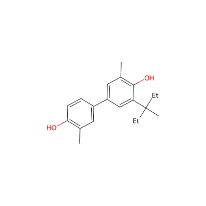 CCC(C)(CC)c1cc(-c2ccc(O)c(C)c2)cc(C)c1O